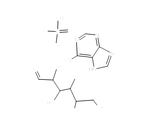 Nc1ncnc2nc[nH]c12.O=CC(O)C(O)C(O)C(O)CO.O=P(O)(O)O